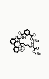 CC(CCCCNC(=O)OC(C)(C)C)n1c(NC(=O)c2cccc(C(=O)OC(C)(C)C)c2)nc2cccc(-c3ccc[n+]([O-])c3)c21